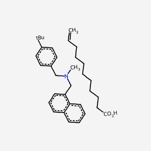 C=CCCCCCCCCC(=O)O.CN(Cc1ccc(C(C)(C)C)cc1)Cc1cccc2ccccc12